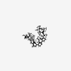 COc1cc(-c2cccc(-c3cccc(NC(=O)c4c[nH]c(=O)n(C)c4=O)c3Cl)c2Cl)cc(F)c1CNCC1(C(N)=O)CC1